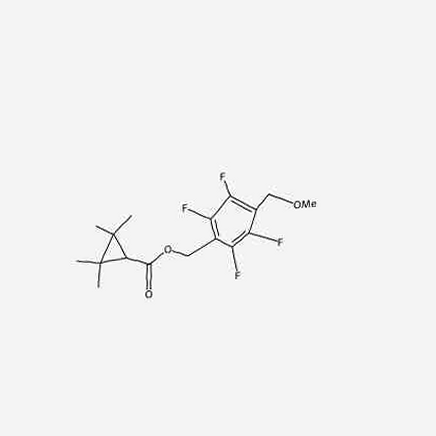 COCc1c(F)c(F)c(COC(=O)C2C(C)(C)C2(C)C)c(F)c1F